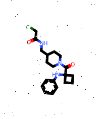 O=C(CCl)NCC1CCN(C(=O)C2(Nc3ccccc3)CCC2)CC1